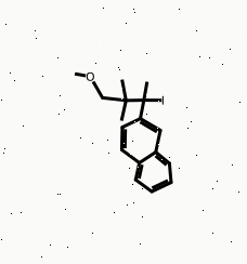 COCC(C)(C)C(C)(I)c1ccc2ccccc2c1